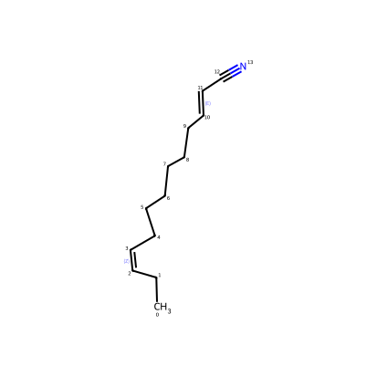 CC/C=C\CCCCCC/C=C/C#N